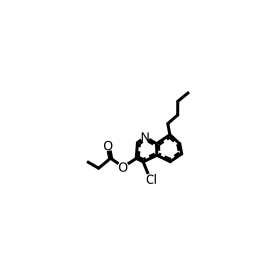 CCCCc1cccc2c(Cl)c(OC(=O)CC)cnc12